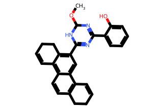 COC1N=C(c2ccccc2O)N=C(c2cc3c4c(ccc3c3c2CCC=C3)CCC=C4)N1